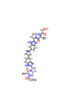 COC(=O)NC(C(=O)N1CCCC1c1nc2cc(-c3cnc(-c4ccc5nc(C6CCCN6C(=O)C(NC(=O)CO)C(C)C)[nH]c5c4)s3)ccc2[nH]1)C(C)C